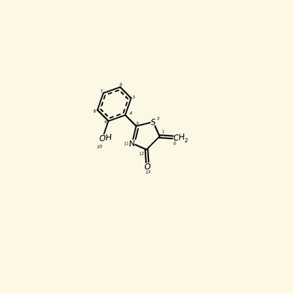 C=C1SC(c2ccccc2O)=NC1=O